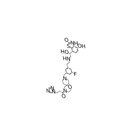 O=C(CCn1cncn1)N1CCOC2(CCN(Cc3cc(F)cc(CCNCC(O)c4ccc(O)c5[nH]c(=O)sc45)c3)CC2)C1